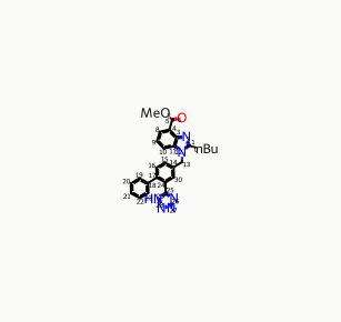 CCCCc1nc2c(C(=O)OC)cccc2n1Cc1ccc(-c2ccccc2)c(-c2nnn[nH]2)c1